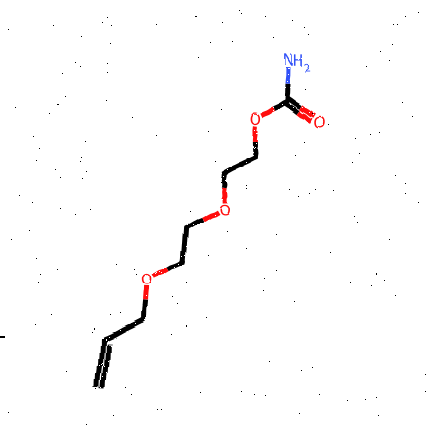 C=CCOCCOCCOC(N)=O